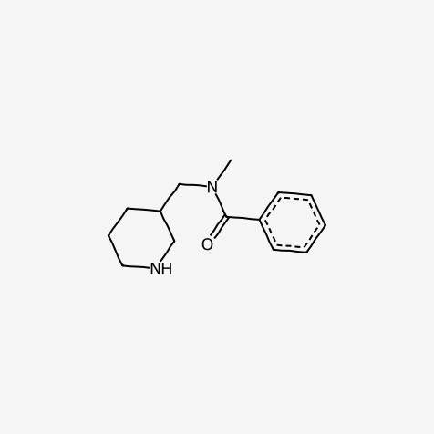 CN(CC1CCCNC1)C(=O)c1ccccc1